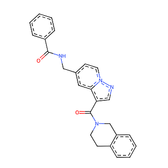 O=C(NCc1ccn2ncc(C(=O)N3CCc4ccccc4C3)c2c1)c1ccccc1